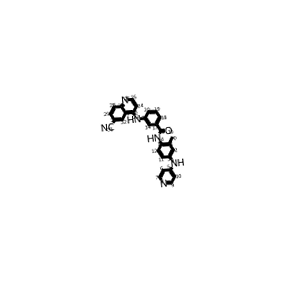 Cc1cc(Nc2ccncc2)ccc1NC(=O)c1cccc(Nc2ccnc3ccc(C#N)cc23)c1